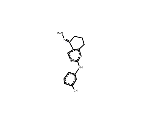 CO/N=C1\CCCc2nc(Nc3cccc(C#N)c3)ncc21